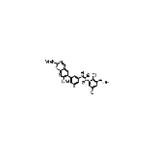 CNc1ncc2cc(-c3cc(F)cc(NS(=O)(=O)c4cc(Cl)cc(CO)c4Cl)c3)c(NC)nc2n1